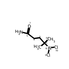 C[C](C)(CCC(N)=O)[Al]([Cl])[Cl]